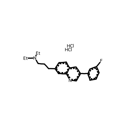 CCN(CC)CCCc1ccc2cc(-c3cccc(F)c3)cnc2c1.Cl.Cl